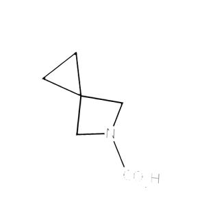 O=C(O)N1CC2(CC2)C1